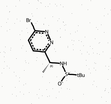 C[C@@H](N[S+]([O-])C(C)(C)C)c1ccc(Br)nn1